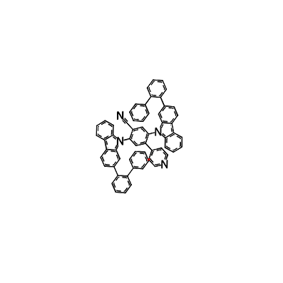 N#Cc1cc(-n2c3ccccc3c3ccc(-c4ccccc4-c4ccccc4)cc32)c(-c2ccncc2)cc1-n1c2ccccc2c2ccc(-c3ccccc3-c3ccccc3)cc21